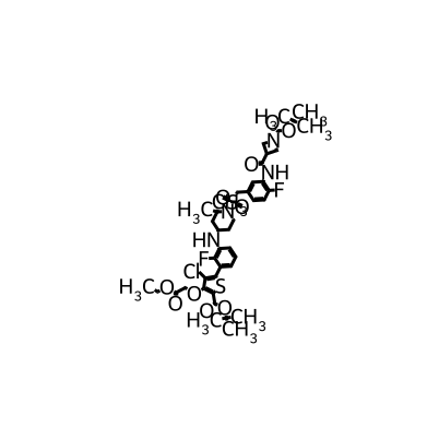 CCOC(=O)COc1c(C(=O)OC(C)(C)C)sc(-c2cccc(N[C@@H]3CCN(S(=O)(=O)Cc4ccc(F)c(NC(=O)C5CN(C(=O)OC(C)(C)C)C5)c4)C(C)(C)C3)c2F)c1Cl